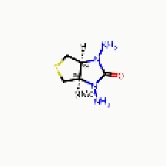 CN[C@]12CSC[C@H]1N(N)C(=O)N2N